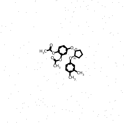 CC(=O)Oc1ccc(O[C@@H]2CCC[C@H]2Oc2ccc(C)c(C)c2)cc1OC(C)=O